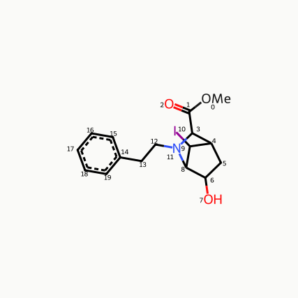 COC(=O)C1C2CC(O)C(C2I)N1CCc1ccccc1